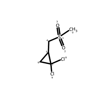 CS(=O)(=O)CC1CC1(Cl)Cl